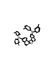 Cc1cccc(N(c2cccc(C)c2)c2ccc3c(ccc4oc5ccc6cc(N(c7cccc(C)c7)c7cccc(C)c7)ccc6c5c43)c2)c1